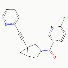 O=C(c1ccc(Cl)nc1)N1CC2CC2(C#Cc2ccccn2)C1